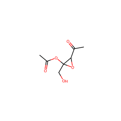 CC(=O)OC1(CO)O[C]1C(C)=O